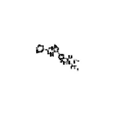 CC(C)[C@@H](NC(=O)c1cc(-c2cnn3cc(-c4cccnc4)cnc23)cs1)C(F)(F)F